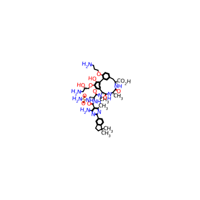 Cc1nc(-c2ccc3c(c2)CCC3(C)C)nc(N)c1C(=O)N[C@@H](CNS(N)(=O)=O)C(=O)N(C)[C@@H]1C(=O)N[C@@H](C)C(=O)N[C@H](C(=O)O)Cc2ccc(OCCCN)c(c2)-c2cc1cc(OC[C@H](O)CN)c2O